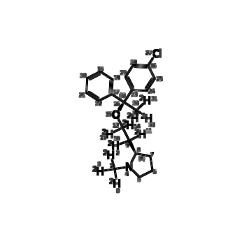 [2H]C([2H])([2H])N1CCC[C@@H]1C([2H])([2H])C([2H])([2H])O[C@@](c1ccccc1)(c1ccc(Cl)cc1)C([2H])([2H])[2H]